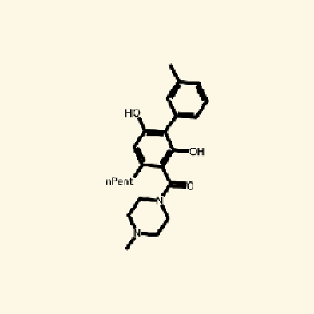 CCCCCc1cc(O)c(-c2cccc(C)c2)c(O)c1C(=O)N1CCN(C)CC1